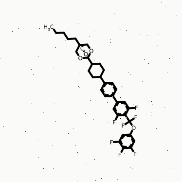 CCCCCC12COC(C3CCC(c4ccc(-c5cc(F)c(C(F)(F)Oc6cc(F)c(F)c(F)c6)c(F)c5)cc4)CC3)(OC1)OC2